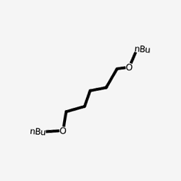 CCCCOCCCCCOCCCC